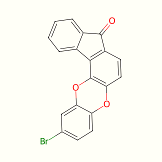 O=c1c2ccccc2c2c1ccc1oc3ccc(Br)cc3oc12